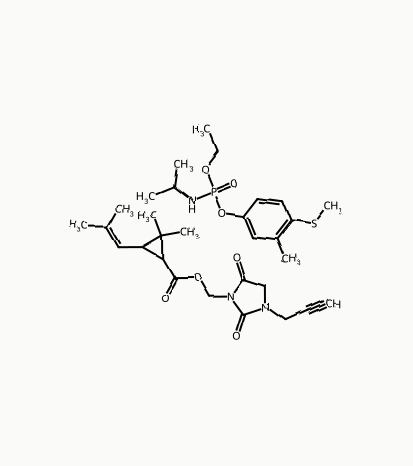 C#CCN1CC(=O)N(COC(=O)C2C(C=C(C)C)C2(C)C)C1=O.CCOP(=O)(NC(C)C)Oc1ccc(SC)c(C)c1